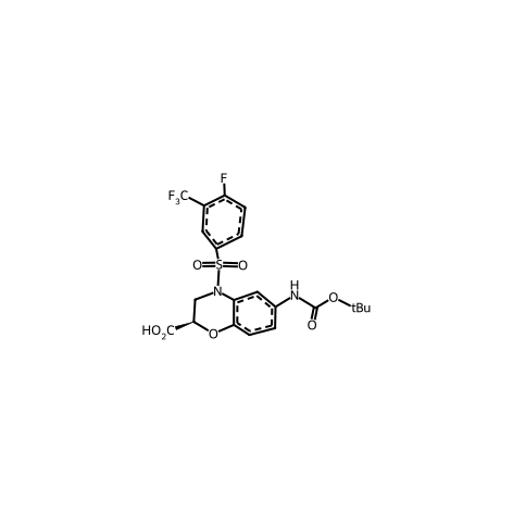 CC(C)(C)OC(=O)Nc1ccc2c(c1)N(S(=O)(=O)c1ccc(F)c(C(F)(F)F)c1)C[C@H](C(=O)O)O2